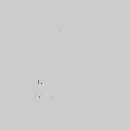 O=C(O)N1CCC(=O)C2(CCCC2)C1